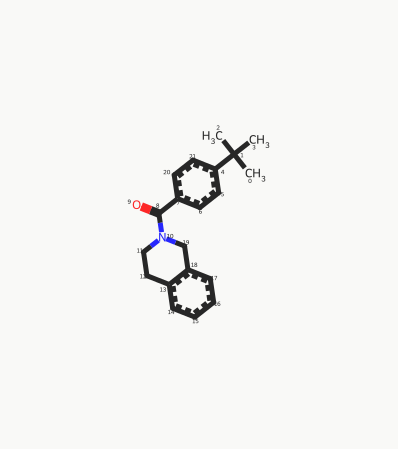 CC(C)(C)c1ccc(C(=O)N2CCc3ccccc3C2)cc1